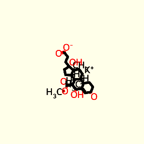 COC(=O)C1C(O)C2=CC(=O)CC[C@]2(C)[C@H]2CC[C@@]3(C)[C@@H](CC[C@]3(O)CCC(=O)[O-])[C@H]12.[K+]